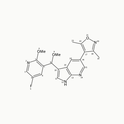 COc1ncc(F)cc1C(OC)c1c[nH]c2ncc(-c3c(C)noc3C)cc12